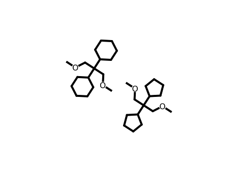 COCC(COC)(C1CCCC1)C1CCCC1.COCC(COC)(C1CCCCC1)C1CCCCC1